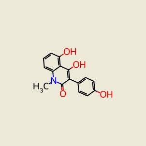 Cn1c(=O)c(-c2ccc(O)cc2)c(O)c2c(O)cccc21